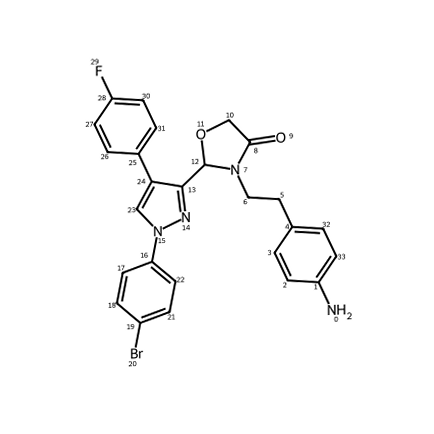 Nc1ccc(CCN2C(=O)COC2c2nn(-c3ccc(Br)cc3)cc2-c2ccc(F)cc2)cc1